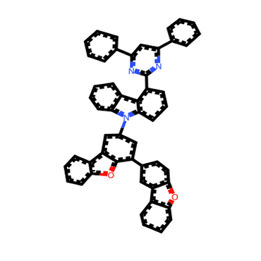 c1ccc(-c2cc(-c3ccccc3)nc(-c3cccc4c3c3ccccc3n4-c3cc(-c4ccc5oc6ccccc6c5c4)c4oc5ccccc5c4c3)n2)cc1